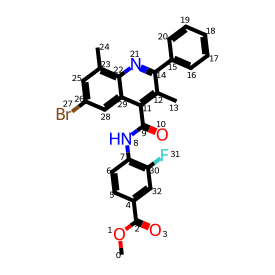 COC(=O)c1ccc(NC(=O)c2c(C)c(-c3ccccc3)nc3c(C)cc(Br)cc23)c(F)c1